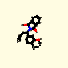 C#CCC(c1ccc(OC)c(OCC)c1)N1C(=O)c2ccccc2C1=O